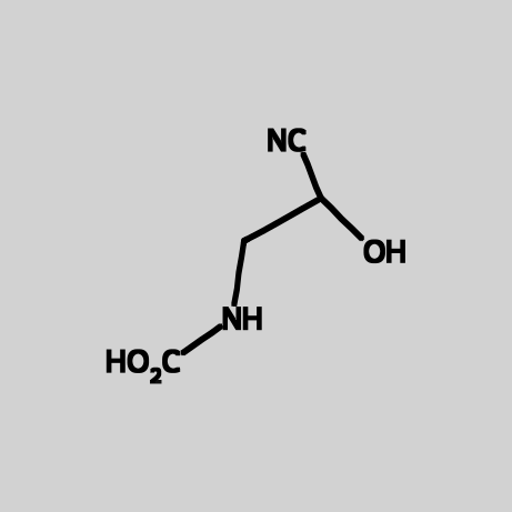 N#CC(O)CNC(=O)O